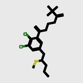 C=C(CCCC(=C)C(C)(C)C)c1cc(CC(CCC)SC)cc(Cl)c1Cl